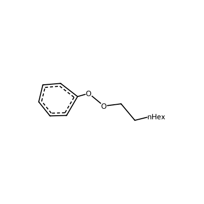 CCCCCCCCOOc1ccccc1